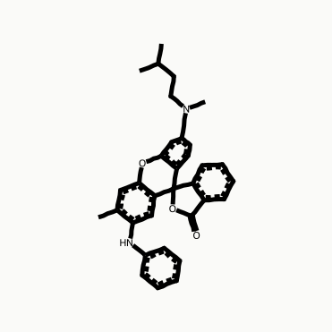 Cc1cc2c(cc1Nc1ccccc1)C1(OC(=O)c3ccccc31)c1ccc(N(C)CCC(C)C)cc1O2